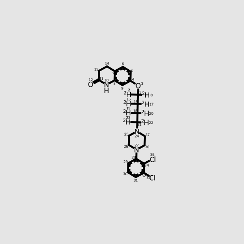 [2H]C([2H])(Oc1ccc2c(c1)NC(=O)CC2)C([2H])([2H])C([2H])([2H])C([2H])([2H])N1CCN(c2cccc(Cl)c2Cl)CC1